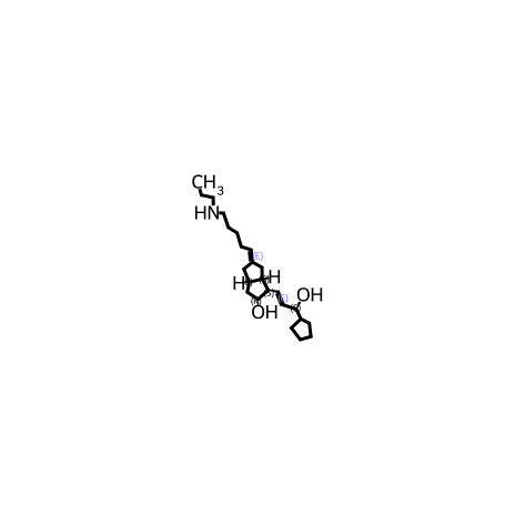 CCCNCCCC/C=C1\C[C@H]2C[C@@H](O)[C@H](/C=C/[C@@H](O)C3CCCC3)[C@H]2C1